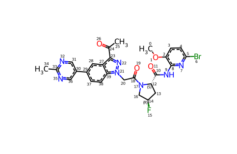 COc1ccc(Br)nc1NC(=O)[C@@H]1C[C@@H](F)CN1C(=O)Cn1nc(C(C)=O)c2cc(-c3cnc(C)nc3)ccc21